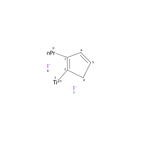 CCCC1=[C]([Ti+2])CC=C1.[I-].[I-]